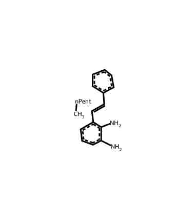 CCCCCC.Nc1cccc(C=Cc2ccccc2)c1N